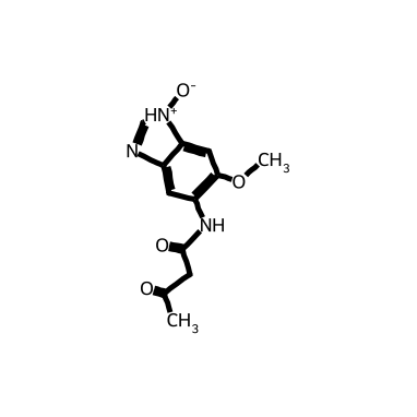 COc1cc2c(cc1NC(=O)CC(C)=O)N=C[NH+]2[O-]